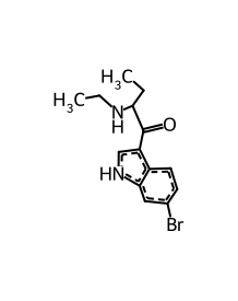 CCNC(CC)C(=O)c1c[nH]c2cc(Br)ccc12